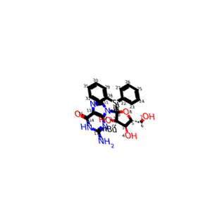 CCCC[C@@]1(O)[C@H](O)[C@@H](CO)O[C@]1(n1cnc2c(=O)[nH]c(N)nc21)[SiH](c1ccccc1)c1ccccc1